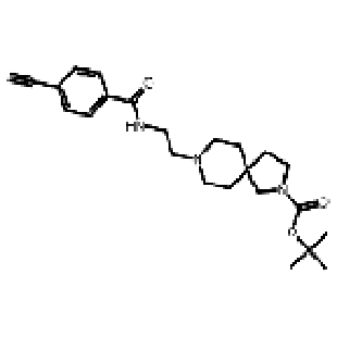 C#Cc1ccc(C(=O)NCCN2CCC3(CC2)CCN(C(=O)OC(C)(C)C)C3)cc1